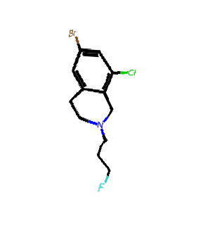 FCCCN1CCc2cc(Br)cc(Cl)c2C1